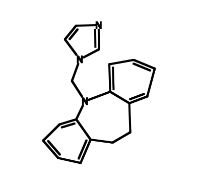 c1ccc2c(c1)CCc1ccccc1N2Cn1ccnc1